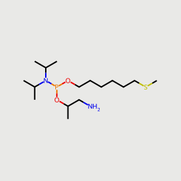 CSCCCCCCOP(OC(C)CN)N(C(C)C)C(C)C